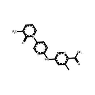 Cc1cc(Nc2ccc(-n3cccc(C(F)(F)F)c3=O)cn2)nnc1C(N)=O